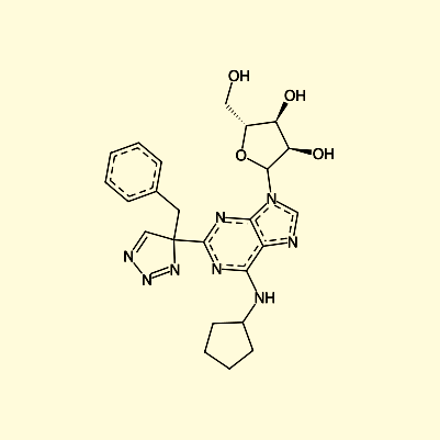 OC[C@H]1OC(n2cnc3c(NC4CCCC4)nc(C4(Cc5ccccc5)C=NN=N4)nc32)[C@H](O)[C@@H]1O